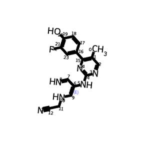 Cc1cnc(N/C(C=N)=C/NCC#N)nc1-c1ccc(O)c(F)c1